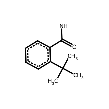 CC(C)(C)c1ccccc1C([NH])=O